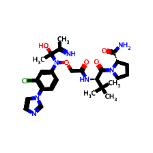 CC(=N)C(C)(O)N(OCC(=O)N[C@H](C(=O)N1CCC[C@H]1C(N)=O)C(C)(C)C)c1ccc(-n2ccnc2)c(Cl)c1